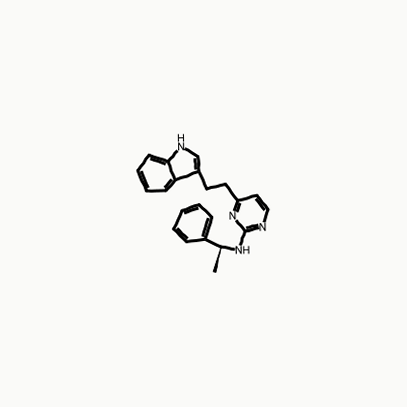 C[C@H](Nc1nccc(CCc2c[nH]c3ccccc23)n1)c1ccccc1